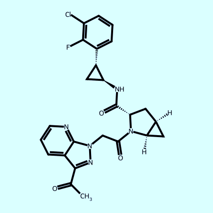 CC(=O)c1nn(CC(=O)N2[C@@H]3C[C@@H]3C[C@H]2C(=O)N[C@H]2C[C@@H]2c2cccc(Cl)c2F)c2ncccc12